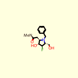 CNC(=O)C[C@@H]1[C@@H](O)[C@H](F)[C@@H](CO)N1Cc1ccccc1